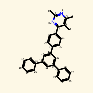 Cc1nc(C)c(C)c(-c2ccc(-c3cc(-c4ccccc4)cc(-c4ccccc4)c3)cc2)n1